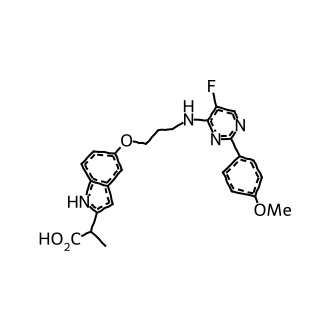 COc1ccc(-c2ncc(F)c(NCCCOc3ccc4[nH]c(C(C)C(=O)O)cc4c3)n2)cc1